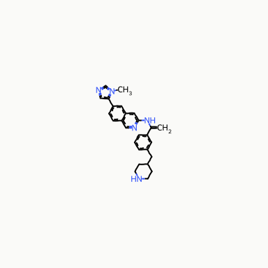 C=C(Nc1cc2cc(-c3cncn3C)ccc2cn1)c1cccc(CC2CCNCC2)c1